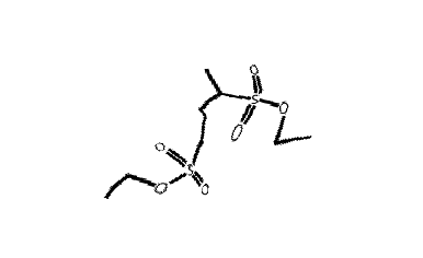 CCOS(=O)(=O)CCC(C)S(=O)(=O)OCC